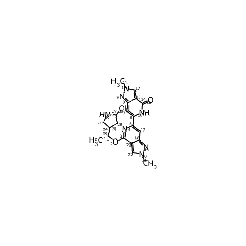 C[C@@H](Oc1nc(-c2cc3nn(C)cc3c(=O)[nH]2)cc2nn(C)cc12)[C@H]1CNC(O)C1